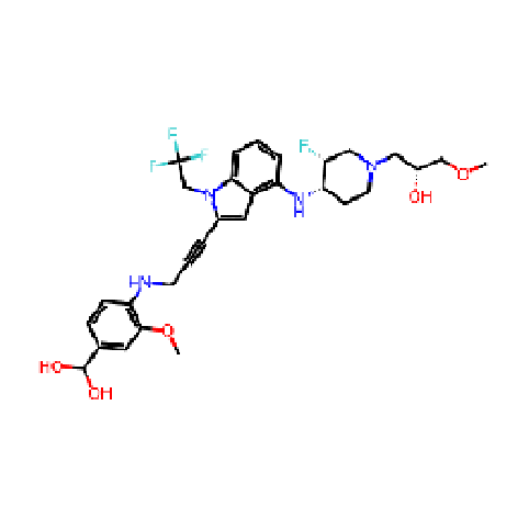 COC[C@H](O)CN1CC[C@H](Nc2cccc3c2cc(C#CCNc2ccc(C(O)O)cc2OC)n3CC(F)(F)F)[C@H](F)C1